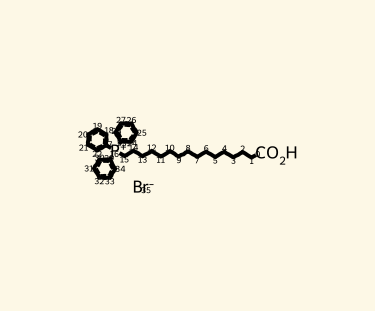 O=C(O)CCCCCCCCCCCCCCC[P+](c1ccccc1)(c1ccccc1)c1ccccc1.[Br-]